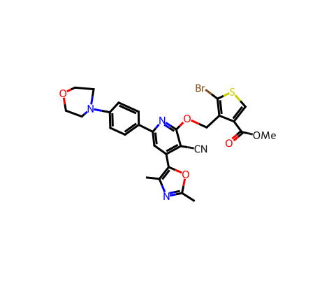 COC(=O)c1csc(Br)c1COc1nc(-c2ccc(N3CCOCC3)cc2)cc(-c2oc(C)nc2C)c1C#N